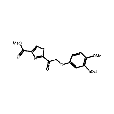 CCCCCCCCc1cc(OCC(=O)c2nc(C(=O)OC)cs2)ccc1OC